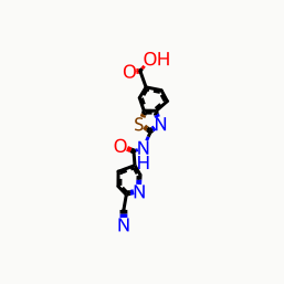 N#Cc1ccc(C(=O)Nc2nc3ccc(C(=O)O)cc3s2)cn1